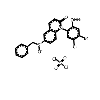 COc1cc(Br)c(Cl)cc1-n1c(=O)ccc2cc([S+]([O-])Cc3ccccc3)ccc21.O=S(=O)(Cl)Cl